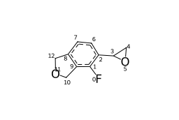 Fc1c(C2CO2)ccc2c1COC2